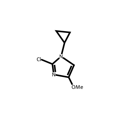 COc1cn(C2CC2)c(Cl)n1